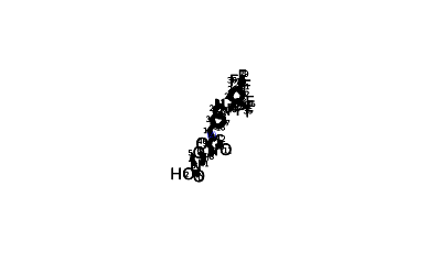 O=C(O)N1CCO[C@H](CN2C(=O)S/C(=C\c3ccc4c(cnn4Cc4ccc(C(F)(F)F)cc4C(F)(F)F)c3)C2=O)C1